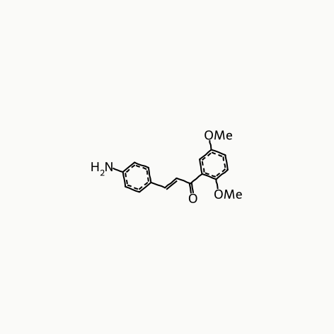 COc1ccc(OC)c(C(=O)/C=C/c2ccc(N)cc2)c1